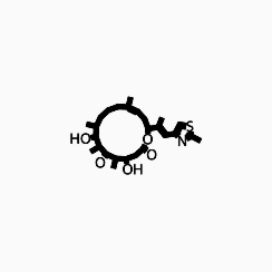 C/C1=C/CC(/C(C)=C/c2csc(C)n2)OC(=O)CC(O)C(C)C(=O)C(C)C(O)C(C)CCC1